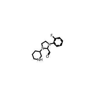 O=CC1N(c2ccccc2F)CCN1C1CCCNC1